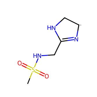 CS(=O)(=O)NCC1=N[CH]CN1